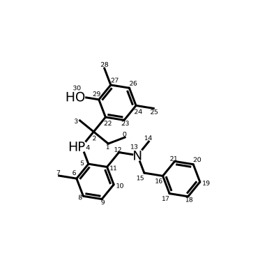 CCC(C)(Pc1c(C)cccc1CN(C)Cc1ccccc1)c1cc(C)cc(C)c1O